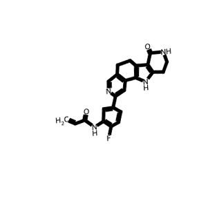 C=CC(=O)Nc1cc(-c2cc3c(cn2)CCc2c-3[nH]c3c2C(=O)NCC3)ccc1F